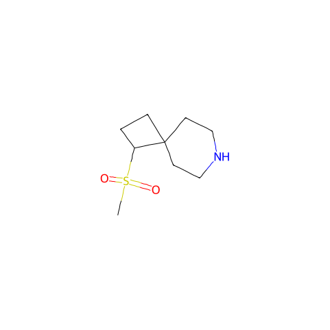 CS(=O)(=O)C1CCC12CCNCC2